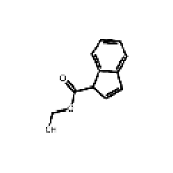 O=C(OCO)C1C=Cc2ccccc21